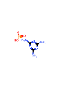 Nc1nc(N)nc(N)n1.O=P(=O)O